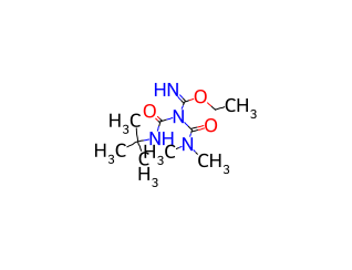 CCOC(=N)N(C(=O)NC(C)(C)C)C(=O)N(C)C